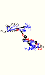 CCC(=O)NCCNC(=O)/N=C(/N)NCCC[C@@H](NC(=O)[C@@H](c1ccccc1)c1cccc(OCCCCNC(=O)[C@@H](CCCNC(=N)N)NC(=O)CCNC(C=O)N2CCN(CC(=O)O)CCN(CC(=O)O)CCN(CC(=O)O)CC2)c1)C(=O)NCc1ccc(O)cc1